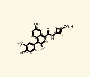 Cc1cc(-c2c(C(C)C)nc(C(=O)NC34CC(C(=O)O)(C3)C4)c3cc(O)ccc23)ccc1F